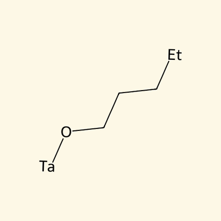 CCCCC[O][Ta]